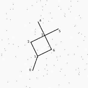 C[C]1CC(C)(C)C1